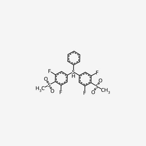 CS(=O)(=O)c1c(F)cc([SH](c2ccccc2)c2cc(F)c(S(C)(=O)=O)c(F)c2)cc1F